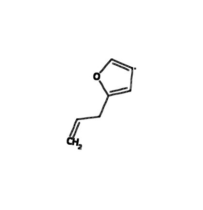 C=CCc1c[c]co1